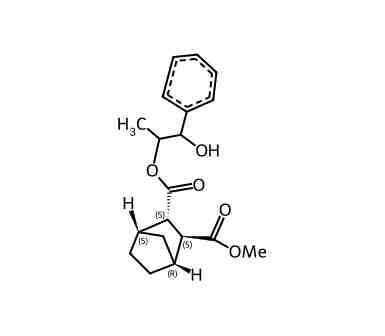 COC(=O)[C@H]1[C@@H]2CC[C@@H](C2)[C@@H]1C(=O)OC(C)C(O)c1ccccc1